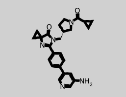 Nc1cncc(-c2ccc(C3=NC4(CC4)C(=O)N3C[C@@H]3CCN(C(=O)C4CC4)C3)cc2)c1